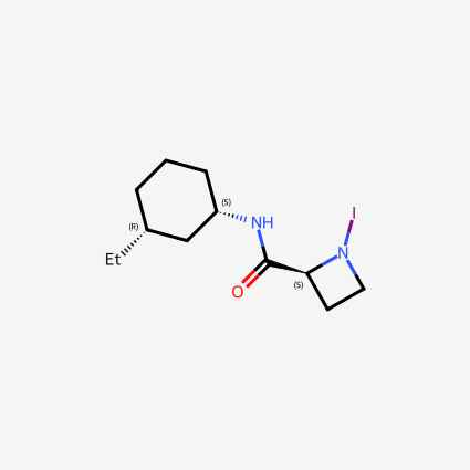 CC[C@@H]1CCC[C@H](NC(=O)[C@@H]2CCN2I)C1